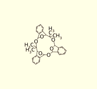 CC1(C)OC2OC(OC3OC(c4ccccc43)C(C)(C)OC3OC1c1ccccc13)c1ccccc12